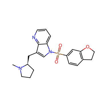 CN1CCC[C@@H]1Cc1cn(S(=O)(=O)c2ccc3c(c2)OCC3)c2cccnc12